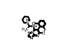 CC(Nc1c(-c2c(F)cccc2Cl)c(Cl)nc2ncnn12)[SiH]1CCCCC1